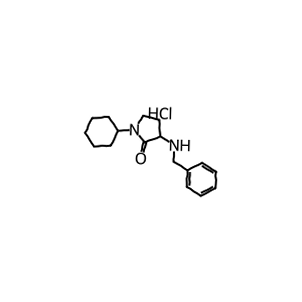 Cl.O=C1C(NCc2ccccc2)CCN1C1CCCCC1